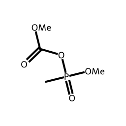 COC(=O)OP(C)(=O)OC